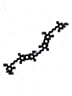 CCCCC1(C)OC(=O)C(=C/C=C/C=C/C2=C(O)OC3(CCC4(CC3)OC(=O)C(=C/C=C/C=C/C3=C(O)OC5(CCC6(CC5)OC(=O)C(=C/C=C/C=C/C5=C(O)OC(C)(CCCC)OC5=O)C(=O)O6)OC3=O)C(=O)O4)OC2=O)C(=O)O1